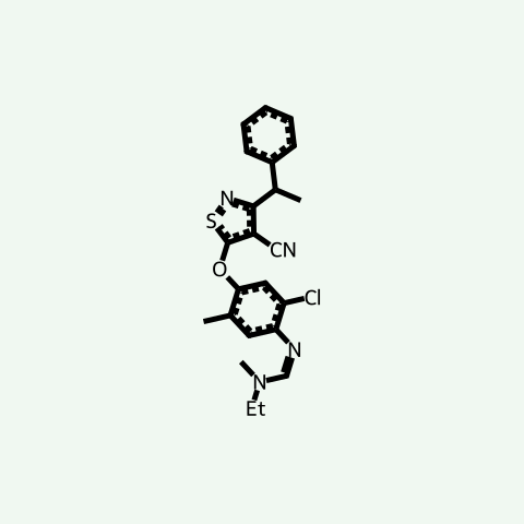 CCN(C)/C=N\c1cc(C)c(Oc2snc(C(C)c3ccccc3)c2C#N)cc1Cl